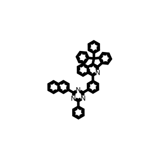 c1ccc(-c2nc(-c3cccc(-c4nc5c(c6ccccc46)C(c4ccccc4)(c4ccccc4)c4ccccc4-5)c3)nc(-c3ccc4ccccc4c3)n2)cc1